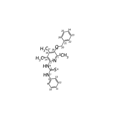 Cc1nc(NC(=S)Nc2ccccc2)c(C)c(C)c1OCc1ccccc1